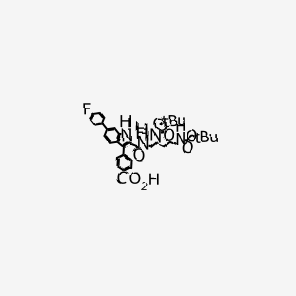 CC(C)(C)OC(=O)NCCC[C@@H](CNC(=O)c1[nH]c2cc(-c3ccc(F)cc3)ccc2c1-c1ccc(C(=O)O)cc1)NC(=O)OC(C)(C)C